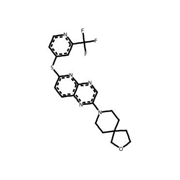 FC(F)(F)c1cc(Sc2ccc3nc(N4CCC5(CCOC5)CC4)cnc3n2)ccn1